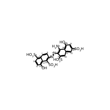 Nc1c(N=Nc2ccc3c(S(=O)(=O)O)ccc(O)c3c2S(=O)(=O)O)c(S(=O)(=O)O)cc2cc(S(=O)(=O)O)cc(O)c12